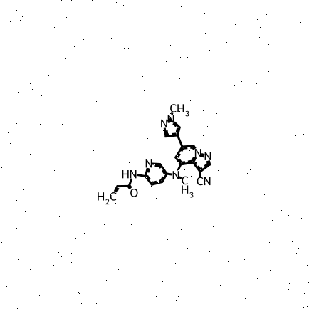 C=CC(=O)Nc1ccc(N(C)c2cc(-c3cnn(C)c3)cn3ncc(C#N)c23)cn1